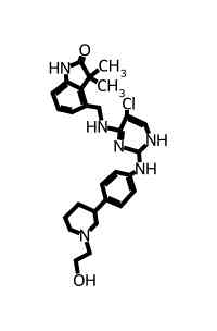 CC1(C)C(=O)Nc2cccc(CNC3=NC(Nc4ccc(C5CCCN(CCO)C5)cc4)NC=C3Cl)c21